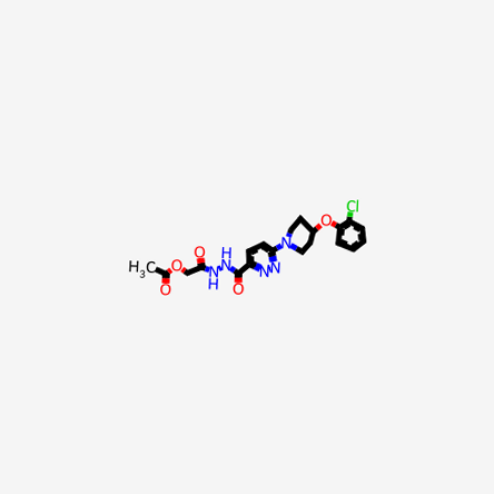 CC(=O)OCC(=O)NNC(=O)c1ccc(N2CCC(Oc3ccccc3Cl)CC2)nn1